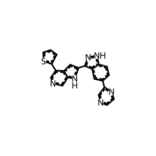 c1csc(-c2cncc3[nH]c(-c4n[nH]c5ccc(-c6cnccn6)cc45)cc23)c1